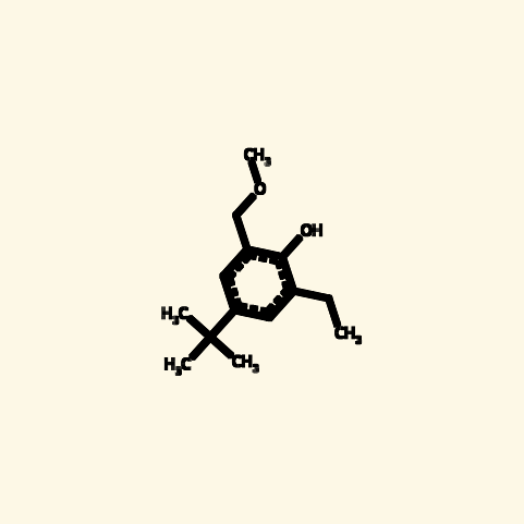 CCc1cc(C(C)(C)C)cc(COC)c1O